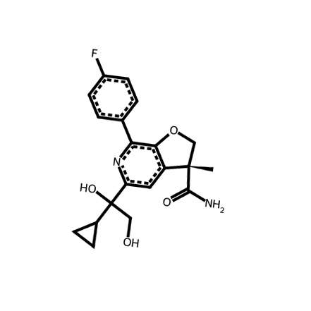 C[C@]1(C(N)=O)COc2c1cc(C(O)(CO)C1CC1)nc2-c1ccc(F)cc1